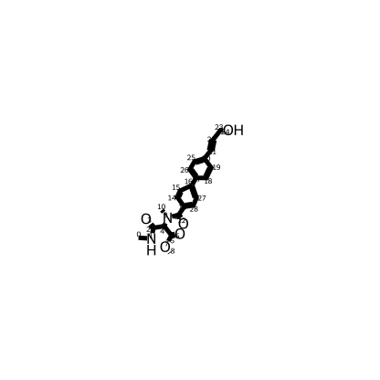 CNC(=O)C(C(=O)OC)N(C)C(=O)c1ccc(-c2ccc(C#CCO)cc2)cc1